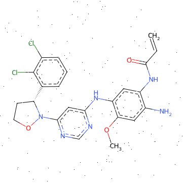 C=CC(=O)Nc1cc(Nc2cc(N3OCC[C@@H]3c3cccc(Cl)c3Cl)ncn2)c(OC)cc1N